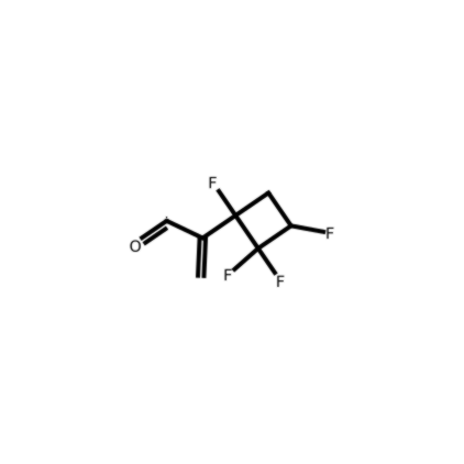 C=C([C]=O)C1(F)CC(F)C1(F)F